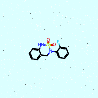 O=S1(=O)Nc2ccccc2CN1c1ccccc1F